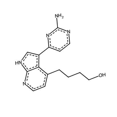 Nc1nccc(-c2c[nH]c3nccc(CCCCO)c23)n1